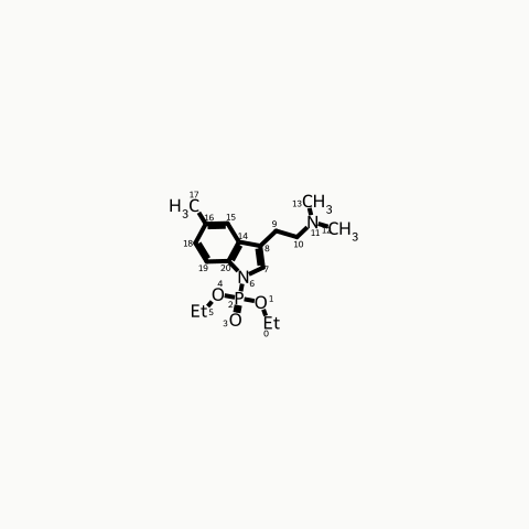 CCOP(=O)(OCC)n1cc(CCN(C)C)c2cc(C)ccc21